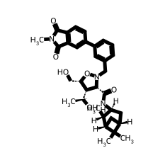 C[C@@H]1[C@@H](NC(=O)[C@@H]2[C@H]([C@H](C)O)[C@H](CO)ON2Cc2cccc(-c3ccc4c(c3)C(=O)N(C)C4=O)c2)C[C@H]2C[C@@H]1C2(C)C